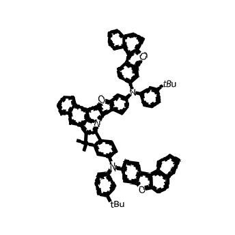 CC(C)(C)c1cccc(N(c2ccc3c(c2)C(C)(C)c2c-3n3c4c5ccc(N(c6cccc(C(C)(C)C)c6)c6ccc7c(c6)oc6ccc8ccccc8c67)cc5oc4c4c5ccccc5cc2c43)c2ccc3c(c2)oc2ccc4ccccc4c23)c1